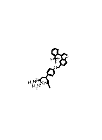 CC#CC(C/C(=N/N)NN)c1ccc(OCc2ccc3scc(-c4ccccc4C(F)(F)F)c3c2)cc1